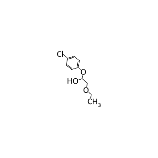 CCOCC(O)Oc1ccc(Cl)cc1